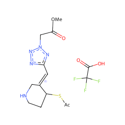 COC(=O)Cn1nnc(/C=C2\CNCCC2SC(C)=O)n1.O=C(O)C(F)(F)F